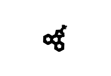 Brc1cc2c3ccccc3c3ccccc3c2s1